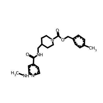 CNc1cc(C(=O)NCC2CCN(C(=O)OCc3ccc(C)cc3)CC2)ccn1